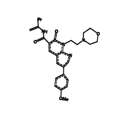 C=C(NC(=O)c1cc2cc(-c3ccc(OC)cc3)cnc2n(CCN2CCOCC2)c1=O)C(C)C